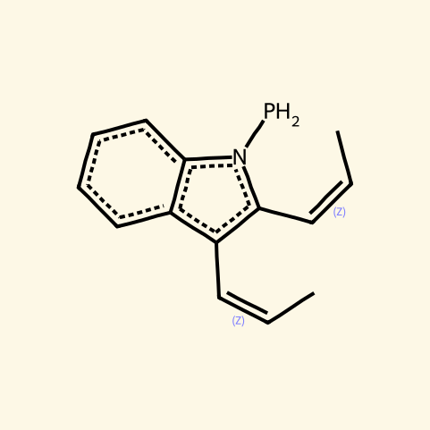 C/C=C\c1c(/C=C\C)n(P)c2ccccc12